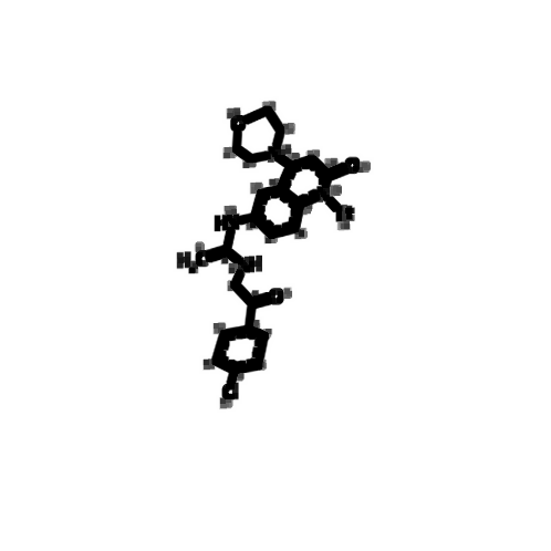 C=C(NCC(=O)c1ccc(Cl)cc1)Nc1ccc2c(c1)c(N1CCOCC1)cc(=O)n2CC